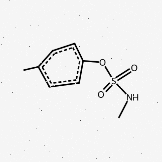 CNS(=O)(=O)Oc1ccc(C)cc1